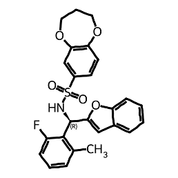 Cc1cccc(F)c1[C@@H](NS(=O)(=O)c1ccc2c(c1)OCCCO2)c1cc2ccccc2o1